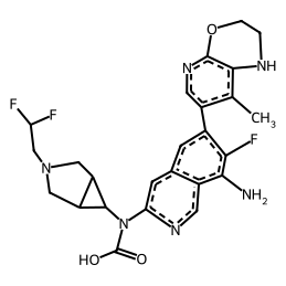 Cc1c(-c2cc3cc(N(C(=O)O)C4C5CN(CC(F)F)CC54)ncc3c(N)c2F)cnc2c1NCCO2